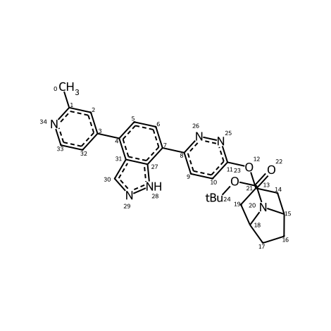 Cc1cc(-c2ccc(-c3ccc(OC4CC5CCC(C4)N5C(=O)OC(C)(C)C)nn3)c3[nH]ncc23)ccn1